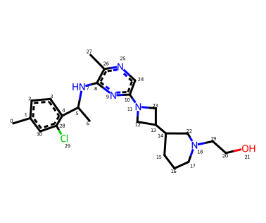 Cc1ccc(C(C)Nc2nc(N3CC(C4CCCN(CCO)C4)C3)cnc2C)c(Cl)c1